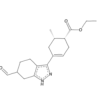 CCOC(=O)[C@@H]1CC=C(c2n[nH]c3c2CCC(C=O)C3)C[C@@H]1C